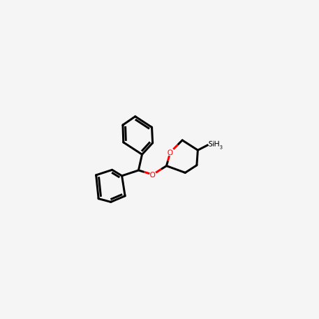 [SiH3]C1CCC(OC(c2ccccc2)c2ccccc2)OC1